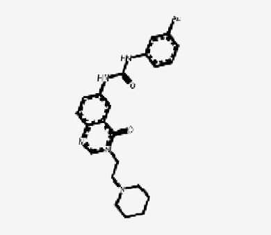 CC(=O)c1cccc(NC(=O)Nc2ccc3ncn(CCN4CCCCC4)c(=O)c3c2)c1